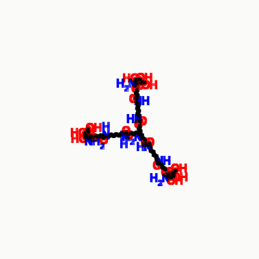 NC1C(OCCCC(=O)NCCCCCCNC(=O)OCCCC(N)(CCCOC(=O)NCCCCCCNC(=O)CCCOC2OC(CO)C(O)C(O)C2N)CCCOC(=O)NCCCCCCNC(=O)CCCOC2OC(CO)C(O)C(O)C2N)OC(CO)C(O)C1O